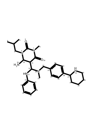 CC(C)CN1C(=O)N(C)C(=O)C(C(Nc2ccccc2)N(C)Cc2ccc(C3CCCCN3)cc2)C1N